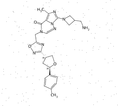 Cc1ccc([C@H]2C[C@H](c3noc(Cn4cnn5c(N6CC(CN)C6)nc(C)c5c4=O)n3)CO2)cc1